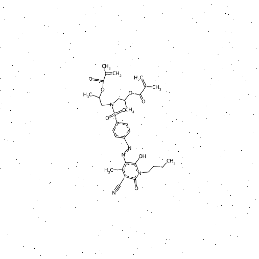 C=C(C)C(=O)OC(C)CN(CC(C)OC(=O)C(=C)C)S(=O)(=O)c1ccc(/N=N/c2c(C)c(C#N)c(=O)n(CCCC)c2O)cc1